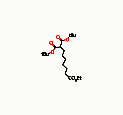 CCOC(=O)CCCCCCC(C(=O)OC(C)(C)C)C(=O)OC(C)(C)C